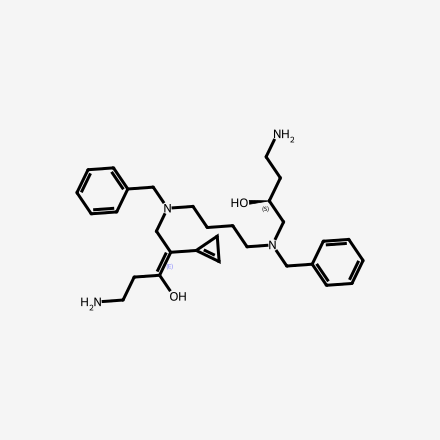 NCC/C(O)=C(\CN(CCCCN(Cc1ccccc1)C[C@@H](O)CCN)Cc1ccccc1)C1=CC1